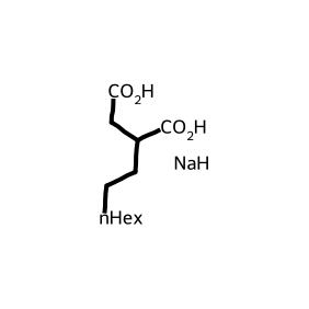 CCCCCCCCC(CC(=O)O)C(=O)O.[NaH]